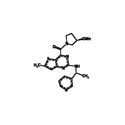 CO[C@@H]1CCN(C(=O)c2nc(NC(C)c3cccnc3)nc3cc(C)sc23)C1